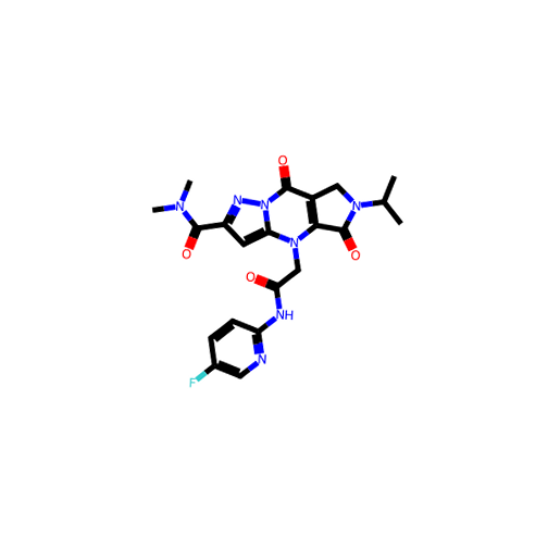 CC(C)N1Cc2c(n(CC(=O)Nc3ccc(F)cn3)c3cc(C(=O)N(C)C)nn3c2=O)C1=O